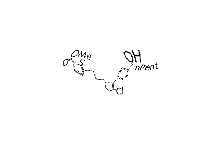 CCCCCC(O)c1ccc(C2=C(Cl)CC[C@@H]2CCCc2ccc(C(=O)OC)s2)cc1